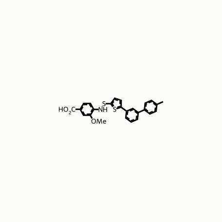 COc1cc(C(=O)O)ccc1NSc1ccc(-c2cccc(-c3ccc(C)cc3)c2)s1